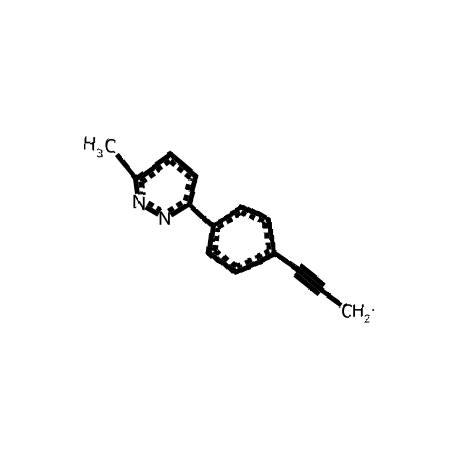 [CH2]C#Cc1ccc(-c2ccc(C)nn2)cc1